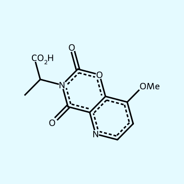 COc1ccnc2c(=O)n(C(C)C(=O)O)c(=O)oc12